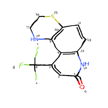 O=c1cc(C(F)(F)F)c2c3c(ccc2[nH]1)SCCN3